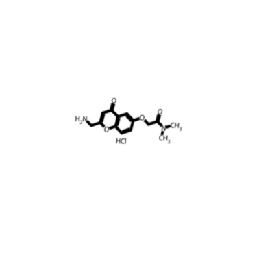 CN(C)C(=O)COc1ccc2oc(CN)cc(=O)c2c1.Cl